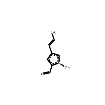 C/C=C/c1cc(C=O)n(C)c1